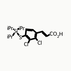 CC(C)[Si](Sc1ccc(/C=C/C(=O)O)c(Cl)c1Cl)(C(C)C)C(C)C